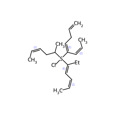 C=CC/C=C(\C=C/C)S(Cl)(/C(=C/C=C\C)CC)C(C)C/C=C\C